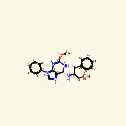 CCCOC1=Nc2c(ncn2-c2ccccc2)[C@@H](NC(CO)Cc2ccccc2)N1